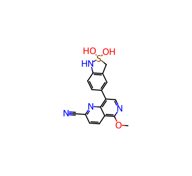 COc1ncc(-c2ccc3c(c2)CS(O)(O)N3)c2nc(C#N)ccc12